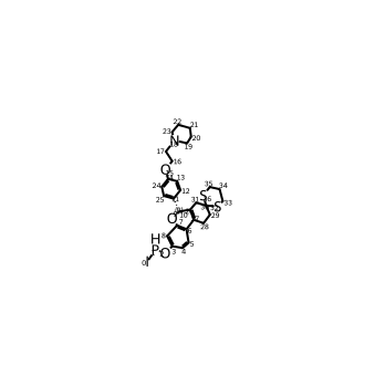 IPOc1ccc2c(c1)O[C@H](c1ccc(OCCN3CCCCC3)cc1)C1=C2CCC2(C1)SCCCS2